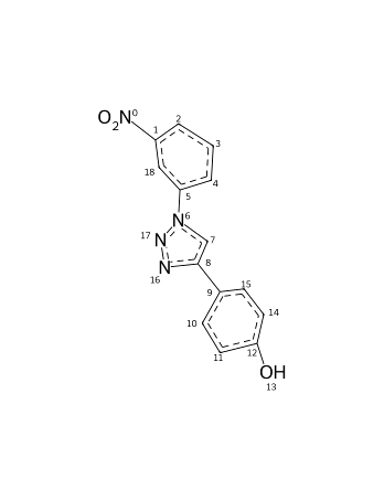 O=[N+]([O-])c1cccc(-n2cc(-c3ccc(O)cc3)nn2)c1